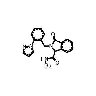 CC(C)(C)NC(=O)C1c2ccccc2C(=O)N1Cc1ccccc1-n1cccn1